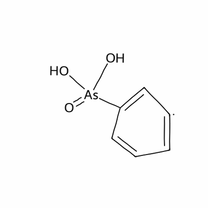 O=[As](O)(O)c1c[c]ccc1